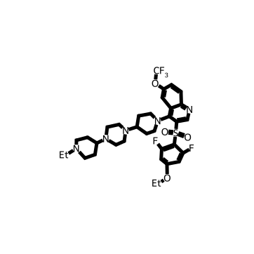 CCOc1cc(F)c(S(=O)(=O)c2cnc3ccc(OC(F)(F)F)cc3c2N2CCC(N3CCN(C4CCN(CC)CC4)CC3)CC2)c(F)c1